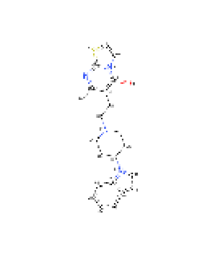 Cc1nc2sccn2c(=O)c1CCN1CCC(n2ccc3ccccc32)CC1